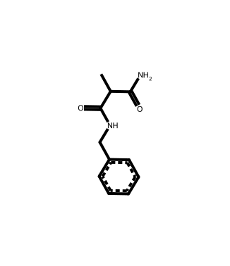 C[C](C(N)=O)C(=O)NCc1ccccc1